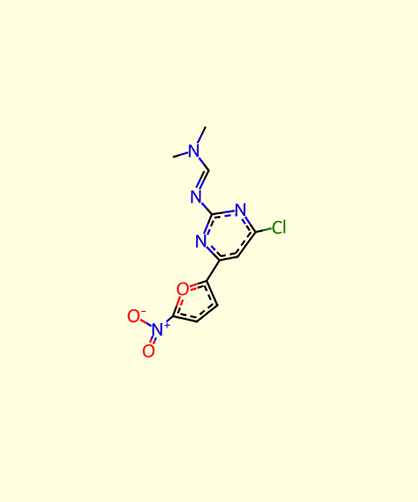 CN(C)C=Nc1nc(Cl)cc(-c2ccc([N+](=O)[O-])o2)n1